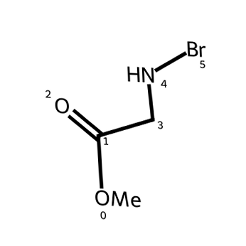 COC(=O)CNBr